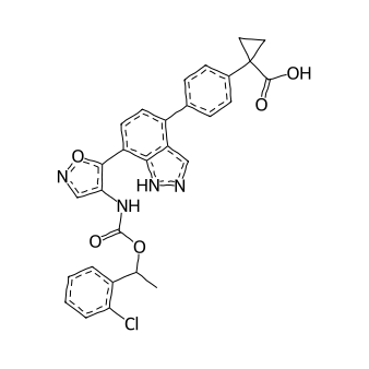 CC(OC(=O)Nc1cnoc1-c1ccc(-c2ccc(C3(C(=O)O)CC3)cc2)c2cn[nH]c12)c1ccccc1Cl